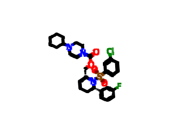 O=C(OC[C@H]1CCC[C@@H](c2cccc(F)c2)N1S(=O)(=O)c1cccc(Cl)c1)N1CCN(C2CCCCC2)CC1